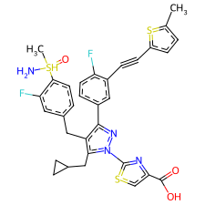 Cc1ccc(C#Cc2cc(-c3nn(-c4nc(C(=O)O)cs4)c(CC4CC4)c3Cc3ccc([SH](C)(N)=O)c(F)c3)ccc2F)s1